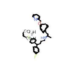 CC(Cc1ccc(OCc2ccccn2)cc1)NCCCC(c1ccc(F)cc1)c1ccc(F)cc1.O=C(O)/C=C\C(=O)O